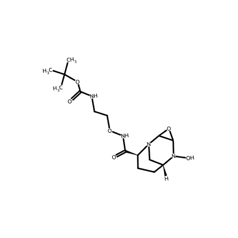 CC(C)(C)OC(=O)NCCONC(=O)[C@@H]1CC[C@@H]2CN1C1OC1N2O